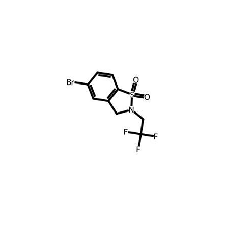 O=S1(=O)c2ccc(Br)cc2CN1CC(F)(F)F